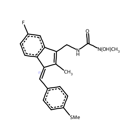 CSc1ccc(/C=C2\C(C)=C(CNC(=O)N(C)O)c3cc(F)ccc32)cc1